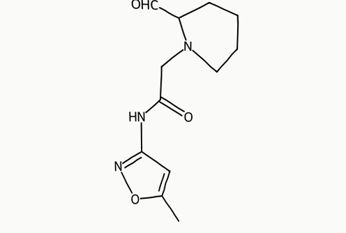 Cc1cc(NC(=O)CN2CCCCC2C=O)no1